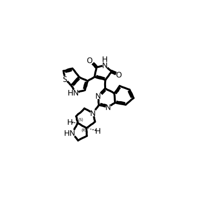 O=C1NC(=O)C(c2c[nH]c3sccc23)=C1c1nc(N2CC[C@@H]3NCC[C@@H]3C2)nc2ccccc12